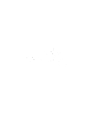 CCc1cc([N+](=O)[O-])cc(C)c1NS(=O)(=O)c1ccc(C)cc1